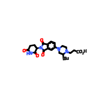 CC(C)(C)C1CN(c2ccc3c(c2)C(=O)N(C2CCC(=O)NC2=O)C3=O)CCN1CCC(=O)O